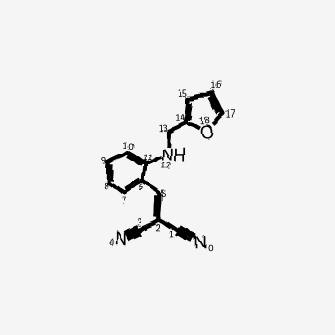 N#CC(C#N)=Cc1ccccc1NCc1ccco1